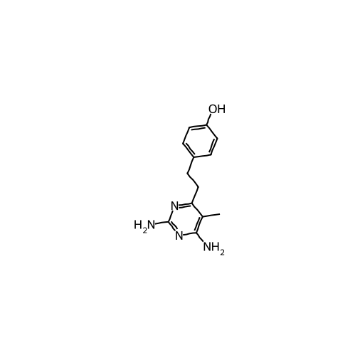 Cc1c(N)nc(N)nc1CCc1ccc(O)cc1